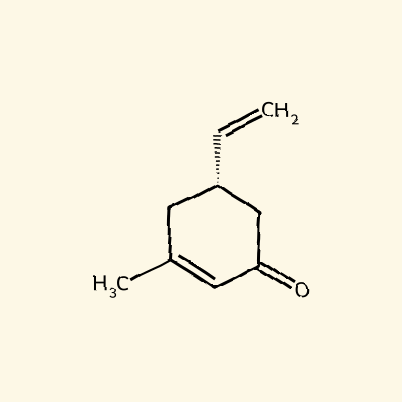 C=C[C@@H]1CC(=O)C=C(C)C1